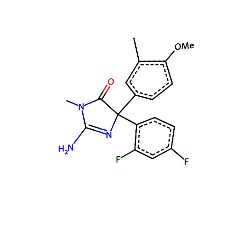 COc1ccc(C2(c3ccc(F)cc3F)N=C(N)N(C)C2=O)cc1C